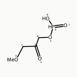 COCC(=O)CO[PH](=O)O